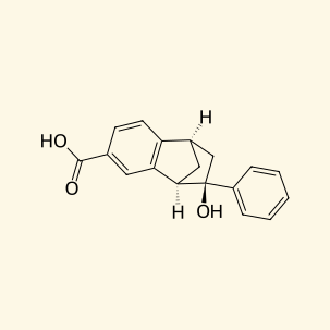 O=C(O)c1ccc2c(c1)[C@H]1C[C@@H]2C[C@]1(O)c1ccccc1